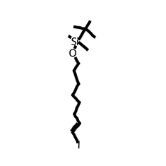 CC(C)(C)[Si](C)(C)OCCCCCC/C=C/I